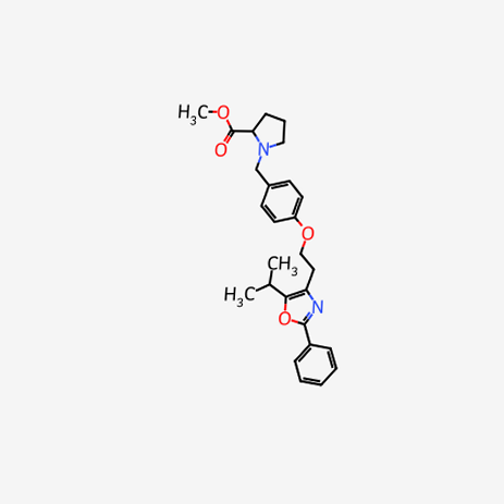 COC(=O)C1CCCN1Cc1ccc(OCCc2nc(-c3ccccc3)oc2C(C)C)cc1